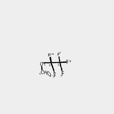 O=COC(F)(F)C(F)(F)F